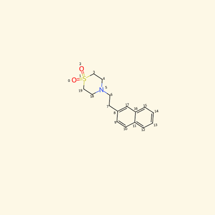 O=S1(=O)CCN(CCc2ccc3ccccc3c2)CC1